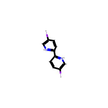 Ic1ccc(-c2ccc(I)cn2)nc1